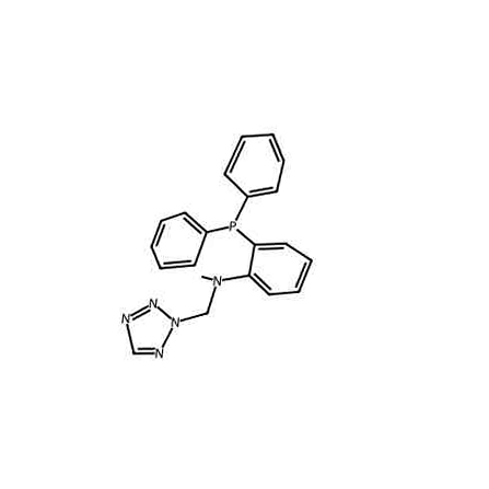 CN(Cn1ncnn1)c1ccccc1P(c1ccccc1)c1ccccc1